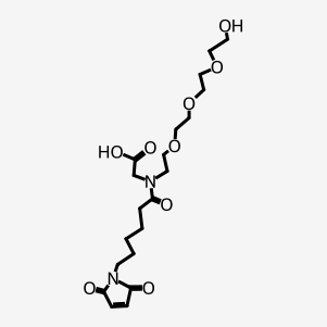 O=C(O)CN(CCOCCOCCOCCO)C(=O)CCCCCN1C(=O)C=CC1=O